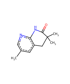 Cc1cnc2c(c1)CC(C)(C)C(=O)N2